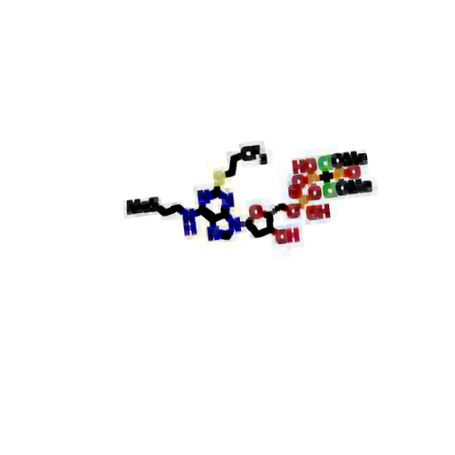 COP(=O)(OC)C(Cl)(Cl)P(=O)(O)OP(=O)(O)OC[C@H]1O[C@@H](n2cnc3c(NCCSC)nc(SCCC(F)(F)F)nc32)C[C@@H]1O